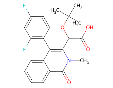 Cn1c(C(OC(C)(C)C)C(=O)O)c(-c2ccc(F)cc2F)c2ccccc2c1=O